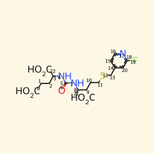 O=C(O)CCC(NC(=O)NC(CCCSCc1ccnc(F)c1)C(=O)O)C(=O)O